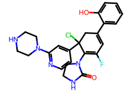 O=C1NCCN1C1=C(F)C=C(c2ccccc2O)CC1(Cl)c1ccnc(N2CCNCC2)c1